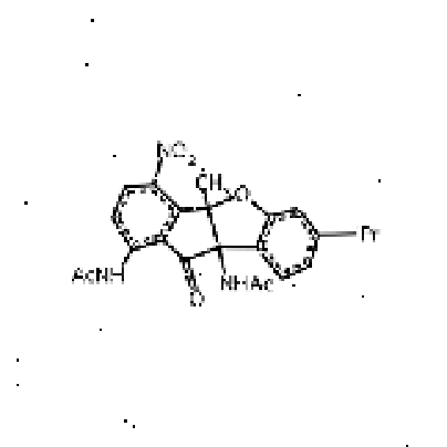 CC(=O)Nc1ccc([N+](=O)[O-])c2c1C(=O)C1(NC(C)=O)c3ccc(C(C)C)cc3OC21C